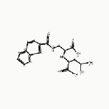 CC(C)C[C@H](NC(CNC(=O)c1ccc2ccccc2c1)C(=O)O)C(=O)O